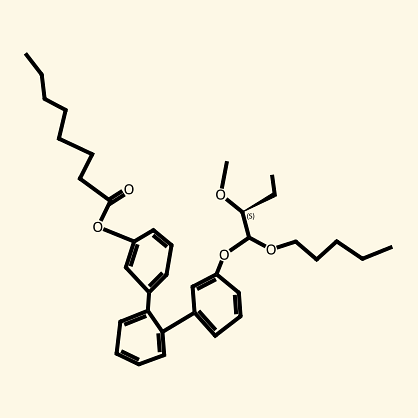 CCCCCCCC(=O)Oc1cccc(-c2ccccc2-c2cccc(OC(OCCCCC)[C@H](CC)OC)c2)c1